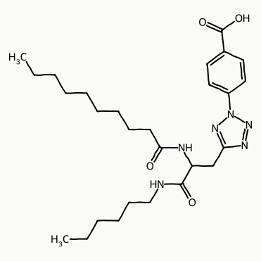 CCCCCCCCCC(=O)NC(Cc1nnn(-c2ccc(C(=O)O)cc2)n1)C(=O)NCCCCCC